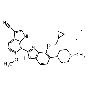 COc1ncc2c(C#N)c[nH]c2c1-c1nc2c(OCC3CC3)c(C3CCN(C)CC3)ccc2[nH]1